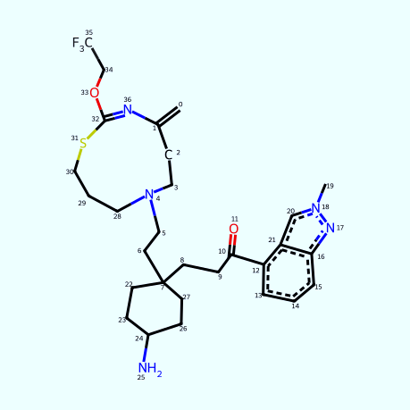 C=C1CCN(CCC2(CCC(=O)c3cccc4nn(C)cc34)CCC(N)CC2)CCCS/C(OCC(F)(F)F)=N\1